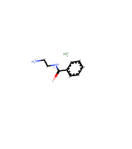 Cl.NCCNC(=O)c1ccccc1